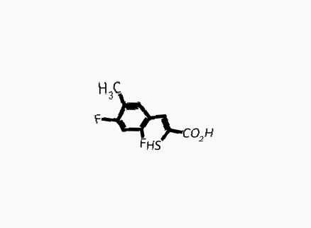 Cc1cc(C=C(S)C(=O)O)c(F)cc1F